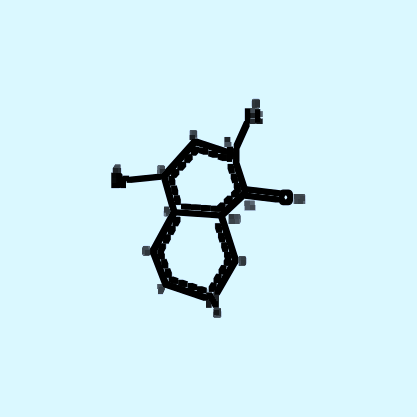 CCn1cc(Br)c2ccncc2c1=O